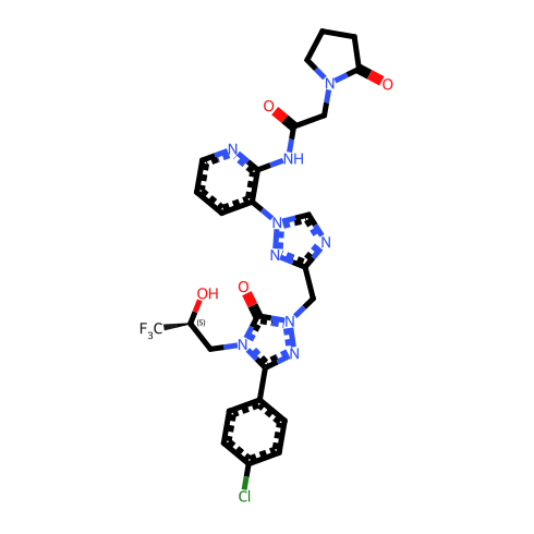 O=C(CN1CCCC1=O)Nc1ncccc1-n1cnc(Cn2nc(-c3ccc(Cl)cc3)n(C[C@H](O)C(F)(F)F)c2=O)n1